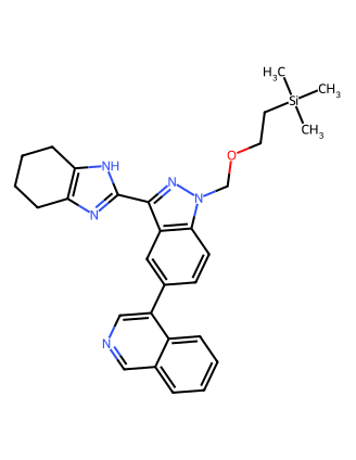 C[Si](C)(C)CCOCn1nc(-c2nc3c([nH]2)CCCC3)c2cc(-c3cncc4ccccc34)ccc21